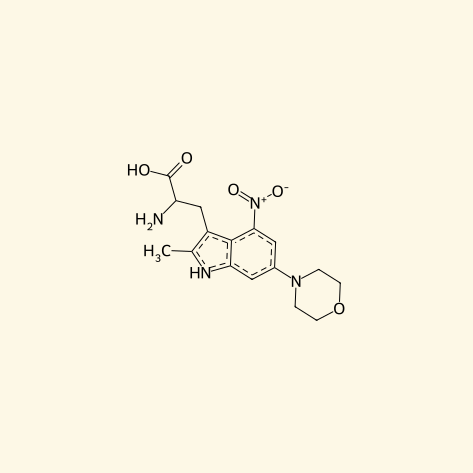 Cc1[nH]c2cc(N3CCOCC3)cc([N+](=O)[O-])c2c1CC(N)C(=O)O